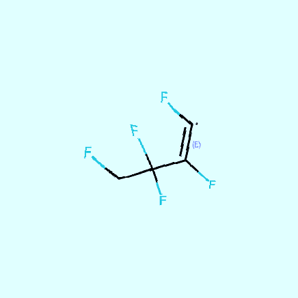 F/[C]=C(/F)C(F)(F)CF